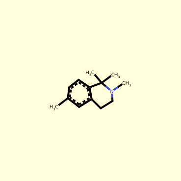 Cc1ccc2c(c1)CCN(C)C2(C)C